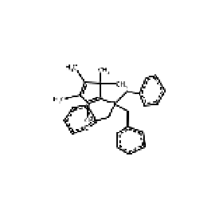 CC1=C(C)C(C)(C)[C]([Ti]([CH2]c2ccccc2)([CH2]c2ccccc2)[CH2]c2ccccc2)=C1C